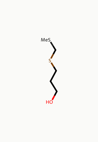 CSCSCCCO